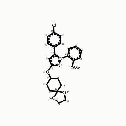 COc1ccccc1-n1nc(OC2CCC3(CC2)OCCO3)cc1-c1ccc(Cl)cc1